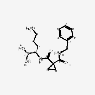 NCCC[C@H](NC(=O)C1(C(=O)NCc2ccccc2)CC1)B(O)O